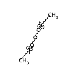 CCCCCCCC[C@H](F)C(=O)OC1CCC(CCc2ccc(CCC3CCC(OC(=O)[C@@H](F)CCCCCCCC)CC3)cc2)CC1